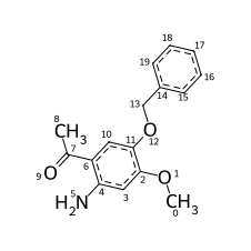 COc1cc(N)c(C(C)=O)cc1OCc1ccccc1